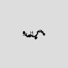 C=C(/C=C\C=C/CC(=C)C/C(=C\C=C\Nc1ccc(/C(C)=C/C=C\Cc2ccccc2S)cc1)c1ccccc1)/C=C\OC(=C)C1=CC=C(C2=CC=CCC2)CC1